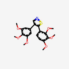 COc1cc(-c2cnsc2-c2ccc(OC)c(OC)c2OC)cc(OC)c1OC